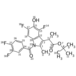 Cc1c(C(C)C(=O)OC(C)(C)C)c2c(F)c(O)c(F)cc2n1C(=O)c1ccc(F)c(F)c1